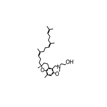 CC(C)=CCCC(C)=CCCC(C)=CCC[C@]1(C)CCc2c3c(cc(C)c2O1)OCN(CCO)C3